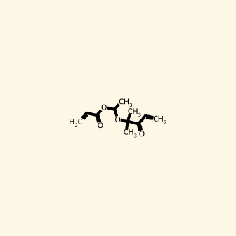 C=CC(=O)OC(C)OC(C)(C)C(=O)C=C